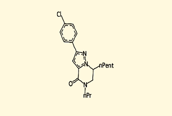 CCCCCC1CN(CCC)C(=O)c2cc(-c3ccc(Cl)cc3)nn21